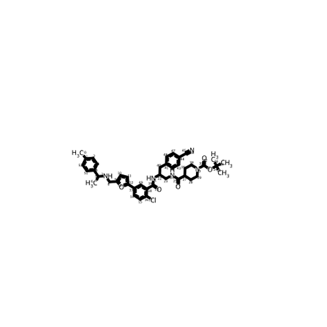 Cc1ccc(C(C)NCc2ccc(-c3ccc(Cl)c(C(=O)NC(CNC(=O)C4CCN(C(=O)OC(C)(C)C)CC4)Cc4ccc(C#N)cc4)c3)o2)cc1